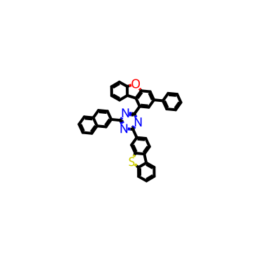 C1=CC2Oc3cc(-c4ccccc4)cc(-c4nc(-c5ccc6ccccc6c5)nc(-c5ccc6c(c5)sc5ccccc56)n4)c3C2C=C1